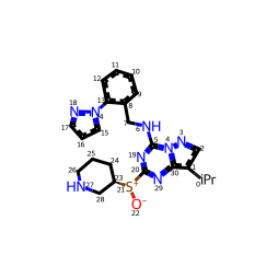 CC(C)c1cnn2c(NCc3ccccc3-n3cccn3)nc([S+]([O-])[C@@H]3CCCNC3)nc12